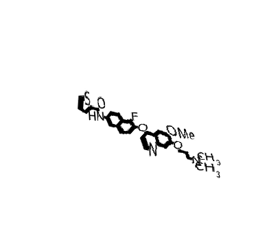 COc1cc2c(Oc3ccc4cc(NC(=O)c5cccs5)ccc4c3F)ccnc2cc1OCCCN(C)C